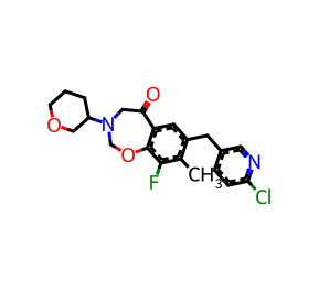 Cc1c(Cc2ccc(Cl)nc2)cc2c(c1F)OCN(C1CCCOC1)CC2=O